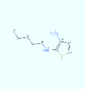 CCCCCNc1sccc1N